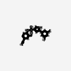 N#Cc1ccc(NS(=O)(=O)c2c[nH]c(-c3cc(F)cc(F)c3)c2)c(F)c1